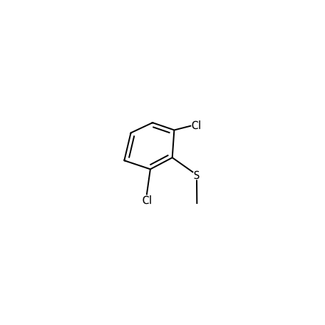 CSc1c(Cl)cccc1Cl